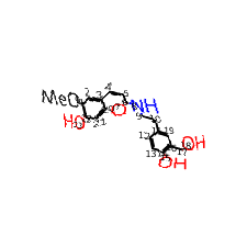 COc1cc(/C=C\C(=O)NCCc2ccc(O)c(CO)c2)ccc1O